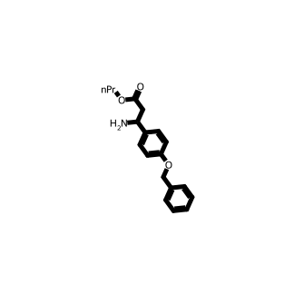 CCCOC(=O)CC(N)c1ccc(OCc2ccccc2)cc1